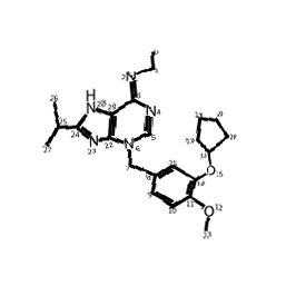 CCN=c1ncn(Cc2ccc(OC)c(OC3CCCC3)c2)c2nc(C(C)C)[nH]c12